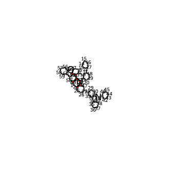 c1ccc(-c2ccccc2-c2c(-c3ccccc3)cccc2N(c2cccc(-c3ccc4c(c3)c3ccccc3n4-c3ccccc3)c2)c2ccc3c(c2)oc2ccccc23)cc1